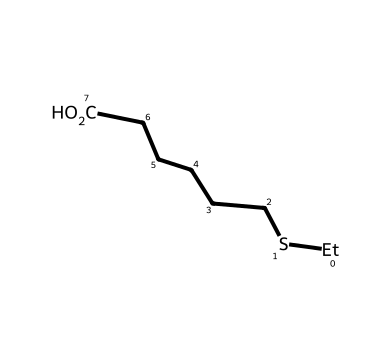 CCSCCCCCC(=O)O